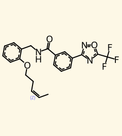 C/C=C\CCOc1ccccc1CNC(=O)c1cccc(-c2noc(C(F)(F)F)n2)c1